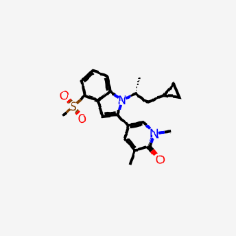 Cc1cc(C2=CC3C(=CC=CC3S(C)(=O)=O)N2[C@H](C)CC2CC2)cn(C)c1=O